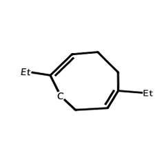 CCC1=CCCC(CC)=CCC1